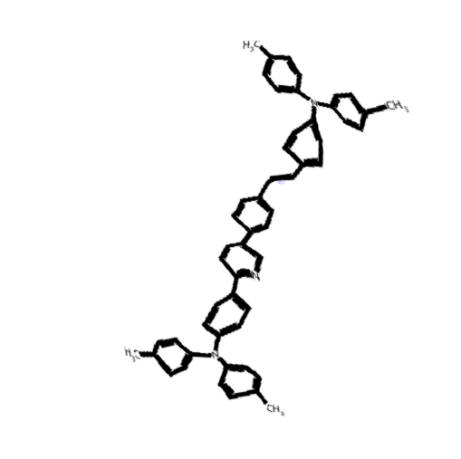 Cc1ccc(N(c2ccc(C)cc2)c2ccc(/C=C/c3ccc(-c4ccc(-c5ccc(N(c6ccc(C)cc6)c6ccc(C)cc6)cc5)nc4)cc3)cc2)cc1